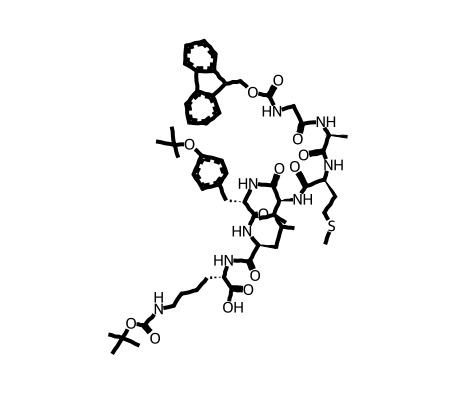 CSCC[C@H](NC(=O)[C@H](C)NC(=O)CNC(=O)OCC1c2ccccc2-c2ccccc21)C(=O)N[C@H](C(=O)N[C@@H](Cc1ccc(OC(C)(C)C)cc1)C(=O)N[C@@H](CC(C)C)C(=O)N[C@@H](CCCCNC(=O)OC(C)(C)C)C(=O)O)C(C)C